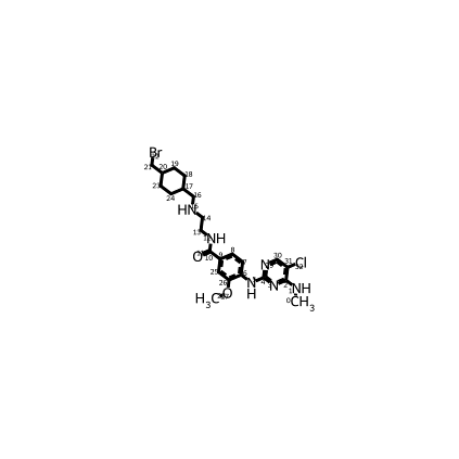 CNc1nc(Nc2ccc(C(=O)NCCNCC3CCC(CBr)CC3)cc2OC)ncc1Cl